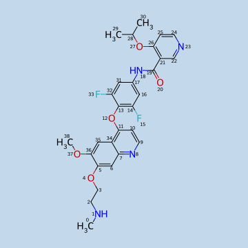 CNCCOc1cc2nccc(Oc3c(F)cc(NC(=O)c4cnccc4OC(C)C)cc3F)c2cc1OC